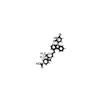 CC(C)(C)C1N(CCCc2ccnc3c2c2ccccc2n3C2CCC(=O)NC2=O)CC12CCN(C(=O)O)CC2